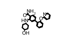 NC(=O)c1ccc(-c2ccccc2Oc2ccccn2)cc1N[C@H]1CC[C@H](O)CC1